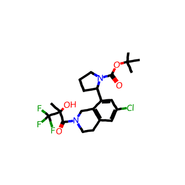 CC(C)(C)OC(=O)N1CCCC1c1cc(Cl)cc2c1CN(C(=O)C(C)(O)C(F)(F)F)CC2